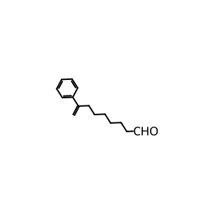 C=C(CCCCCCC=O)c1ccccc1